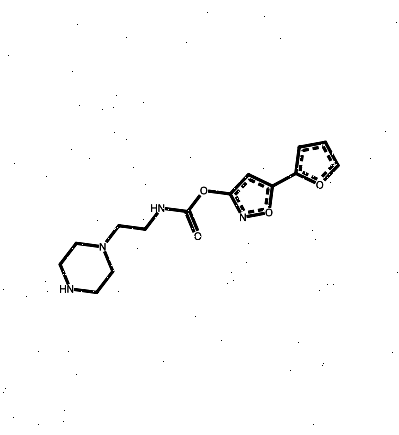 O=C(NCCN1CCNCC1)Oc1cc(-c2ccco2)on1